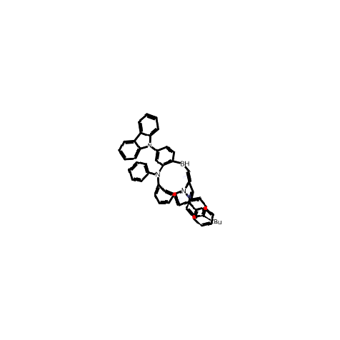 CC(C)(C)c1ccc(N2C3=C\Bc4ccc(-n5c6ccccc6c6ccccc65)cc4N(c4ccccc4)c4cccc2c4/C=C/C(c2ccccc2)=C\3)cc1